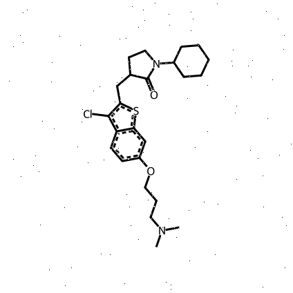 CN(C)CCCOc1ccc2c(Cl)c(CC3CCN(C4CCCCC4)C3=O)sc2c1